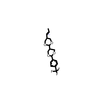 C/C=C/C1COC(C2COC(c3ccc(C(F)(F)F)cc3)OC2)OC1